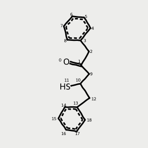 O=C(Cc1ccccc1)CC(S)Cc1ccccc1